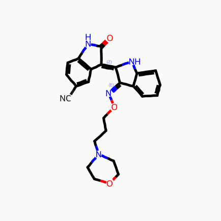 N#Cc1ccc2c(c1)/C(=C1/Nc3ccccc3/C1=N\OCCCN1CCOCC1)C(=O)N2